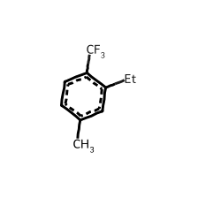 CCc1cc(C)ccc1C(F)(F)F